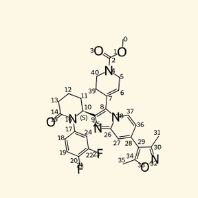 COC(=O)N1CC=C(c2c([C@@H]3CCCC(=O)N3c3ccc(F)c(F)c3)nc3cc(-c4c(C)noc4C)ccn23)CC1